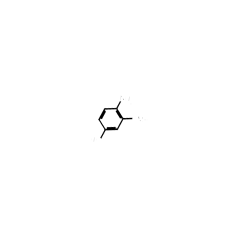 CSc1cc(C(C)(C)C)ccc1N